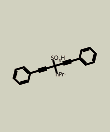 CC[CH]C(C#Cc1ccccc1)(C#Cc1ccccc1)S(=O)(=O)O